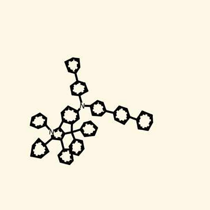 c1ccc(-c2ccc(-c3ccc(N(c4ccc(-c5ccccc5)cc4)c4ccc5c(c4)C(c4ccccc4)(c4ccccc4)c4c(-c6ccccc6)c(-c6ccccc6)n(-c6ccccc6)c4-5)cc3)cc2)cc1